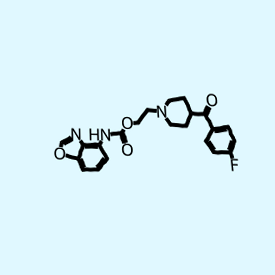 O=C(Nc1cccc2ocnc12)OCCN1CCC(C(=O)c2ccc(F)cc2)CC1